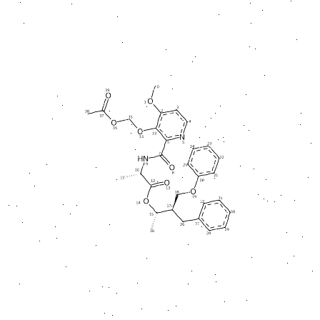 COc1ccnc(C(=O)N[C@@H](C)C(=O)O[C@@H](C)[C@@H](COc2ccccc2)Cc2ccccc2)c1OCOC(C)=O